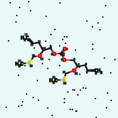 C=CCC(COC(=O)OCC(CC=C)OCSC)OCSC